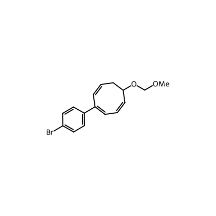 COCOC1\C=C/C=C(c2ccc(Br)cc2)\C=C/C1